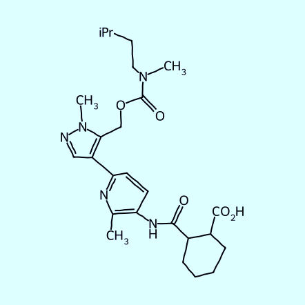 Cc1nc(-c2cnn(C)c2COC(=O)N(C)CCC(C)C)ccc1NC(=O)C1CCCCC1C(=O)O